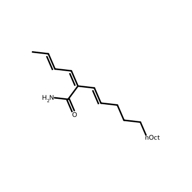 C/C=C/C=C(/C=C/CCCCCCCCCCC)C(N)=O